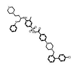 Cc1cc(S(=O)(=O)NC(=O)c2ccc(N3CCN(Cc4ccccc4-c4ccc(Cl)cc4)CC3)cc2)ccc1N[C@H](CCN1CCSCC1)CSc1ccccc1